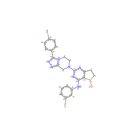 [O-][S+]1CCc2nc(N3CCn4c(nnc4-c4ccc(F)cc4)C3)nc(Nc3cccc(F)c3)c21